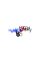 CC(C)(C)OC(=O)N1CC[C@H](Oc2nc(C(=N)NN)cc3cccc(Cl)c23)C1